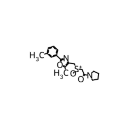 Cc1cccc(-c2nc(C[S+]([O-])CC(=O)N3CCCC3)c(C)o2)c1